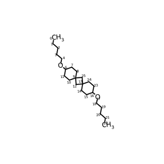 CCCCCOC1CCC2(CC1)CC1(CCC(OCCCCC)CC1)C2